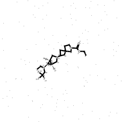 CCOC(=O)N1CCC2(CC(N3C[C@@H]4[C@H](C3)[C@@H]4N(CC)CC(F)(F)F)C2)C1